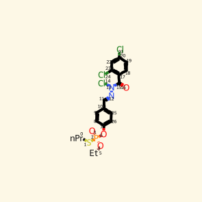 CCCSP(=O)(OCC)Oc1ccc(C=NN(Cl)C(=O)c2ccc(Cl)cc2Cl)cc1